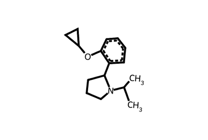 CC(C)N1CCCC1c1ccccc1OC1CC1